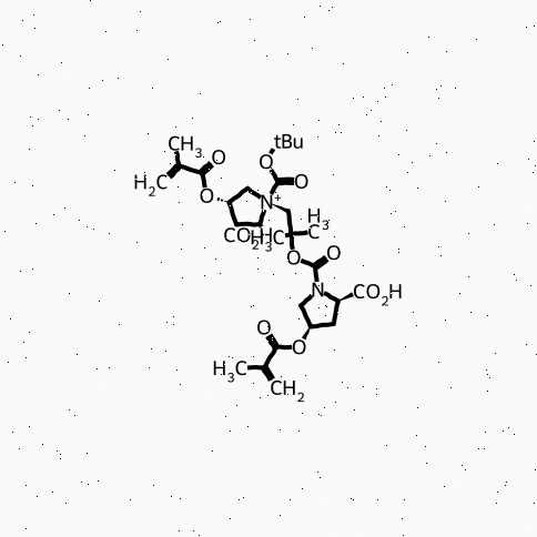 C=C(C)C(=O)O[C@@H]1C[C@H](C(=O)O)N(C(=O)OC(C)(C)C[N@+]2(C(=O)OC(C)(C)C)C[C@@H](OC(=O)C(=C)C)C[C@@H]2C(=O)O)C1